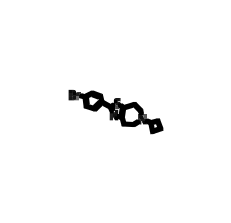 Brc1ccc(-c2nc3c(s2)CCN(C2CCC2)CC3)cc1